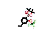 CCc1ccc(B2OC(C)(C)C(C)(C)O2)c(OC(F)(F)F)c1